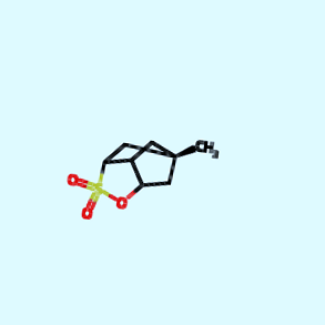 C[C@@]12CC3OS(=O)(=O)C(C1)C3C2